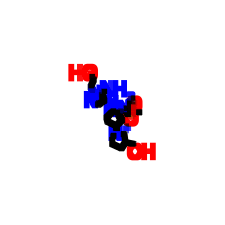 CS(=O)(=O)NC1=CC(=[N+]2CCCC(CO)C2)C=CC1=Nc1cnn(CCO)c1N